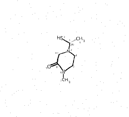 C[C@@H](S)N1CCN(C)C(=O)C1